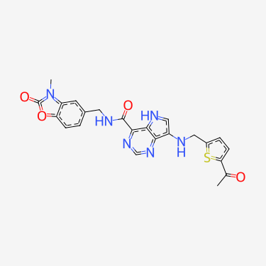 CC(=O)c1ccc(CNc2c[nH]c3c(C(=O)NCc4ccc5oc(=O)n(C)c5c4)ncnc23)s1